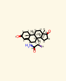 C[C@]12CCC(=O)C=C1CC[C@@H]1[C@@H]2CC[C@]2(C)C(=O)CC[C@@H]12.NC(=O)CI